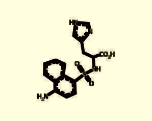 Nc1ccc(S(=O)(=O)NC(Cc2c[nH]cn2)C(=O)O)c2ccccc12